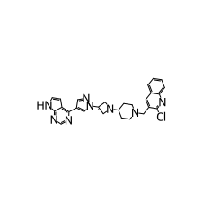 Clc1nc2ccccc2cc1CN1CCC(N2C[C](n3cc(-c4ncnc5[nH]ccc45)cn3)C2)CC1